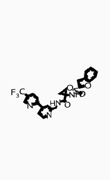 O=C(NCc1cc(-c2ccc(C(F)(F)F)cn2)ccn1)C1(NS(=O)(=O)c2cc3ccccc3o2)CC1